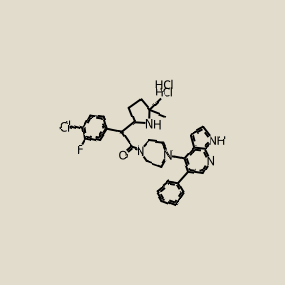 CC1(C)CCC(C(C(=O)N2CCN(c3c(-c4ccccc4)cnc4[nH]ccc34)CC2)c2ccc(Cl)c(F)c2)N1.Cl.Cl